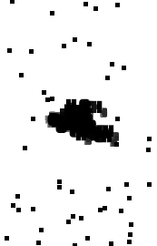 CC(COC(=O)Oc1ccccc1)C(c1ccc(OC(=O)CC(C)(C)C)c(OC(=O)CC(C)(C)C)c1)[C@H](N)C(=O)O